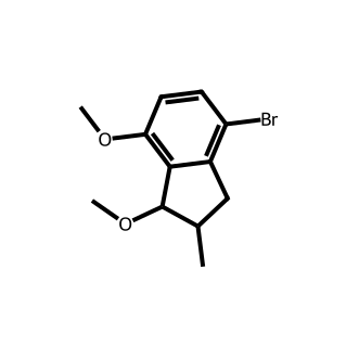 COc1ccc(Br)c2c1C(OC)C(C)C2